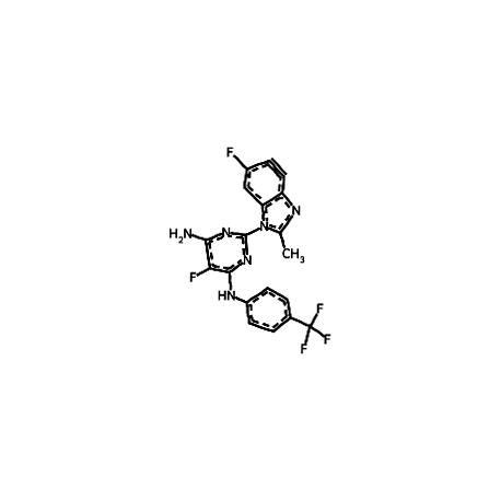 Cc1nc2c#cc(F)cc2n1-c1nc(N)c(F)c(Nc2ccc(C(F)(F)F)cc2)n1